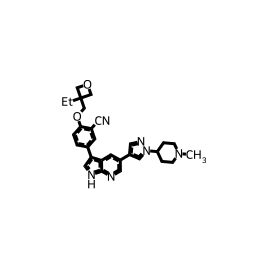 CCC1(COc2ccc(-c3c[nH]c4ncc(-c5cnn(C6CCN(C)CC6)c5)cc34)cc2C#N)COC1